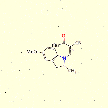 COc1ccc2c(c1)CC(C)N2/C=C(/C#N)C(=O)C(C)(C)C